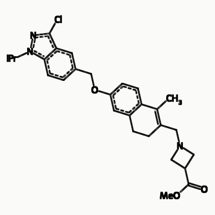 COC(=O)C1CN(CC2=C(C)c3ccc(OCc4ccc5c(c4)c(Cl)nn5C(C)C)cc3CC2)C1